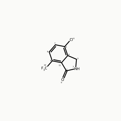 O=C1NCc2c(Cl)ccc(C(F)(F)F)c21